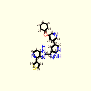 c1cc2[nH]c(-c3n[nH]c4ncc(-c5cncc(OC6CCCCC6)c5)cc34)nc2c(-c2ccsc2)n1